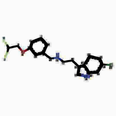 FC(F)COc1cccc(CNCCc2c[nH]c3cc(Cl)ccc23)c1